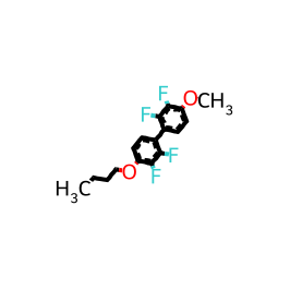 CCCCOc1ccc(-c2ccc(OC)c(F)c2F)c(F)c1F